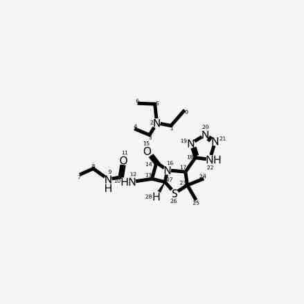 CCN(CC)CC.CCNC(=O)NC1C(=O)N2C(c3nnn[nH]3)C(C)(C)S[C@H]12